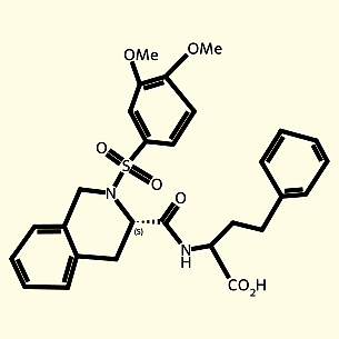 COc1ccc(S(=O)(=O)N2Cc3ccccc3C[C@H]2C(=O)NC(CCc2ccccc2)C(=O)O)cc1OC